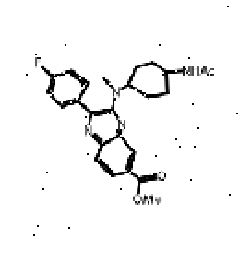 COC(=O)c1ccc2nc(-c3ccc(F)cc3)c(N(C)C3CCC(NC(C)=O)CC3)nc2c1